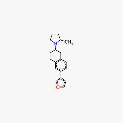 CC1CCCN1C1CCc2cc(-c3ccoc3)ccc2C1